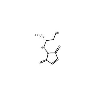 O=C(O)[C@H](CO)NN1C(=O)C=CC1=O